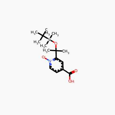 CC(C)(O[Si](C)(C)C(C)(C)C)c1cc(C(=O)O)cc[n+]1[O-]